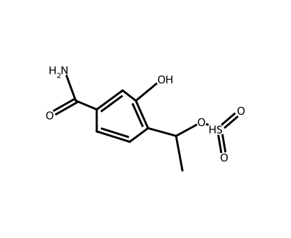 CC(O[SH](=O)=O)c1ccc(C(N)=O)cc1O